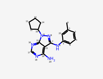 Cc1cccc(Nc2nn(C3CCCC3)c3ncnc(N)c23)c1